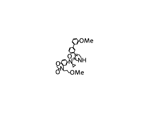 COCCCN1C(=O)COc2ccc(N(C(=O)[C@H]3CNCC[C@@H]3c3cccc(-c4cccc(OC)c4)c3)C3CC3)cc21